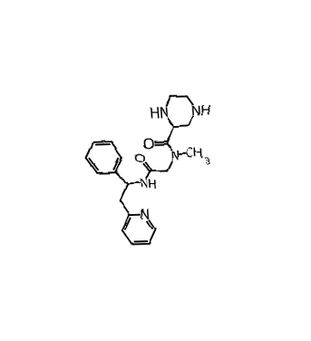 CN(CC(=O)NC(Cc1ccccn1)c1ccccc1)C(=O)[C@@H]1CNCCN1